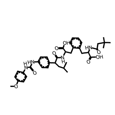 COc1ccc(NC(=O)Nc2ccc(C(CC(C)C)C(=O)NC(Cc3ccccc3CC(NC(=O)CC(C)(C)C)C(=O)O)C(=O)O)cc2)cc1